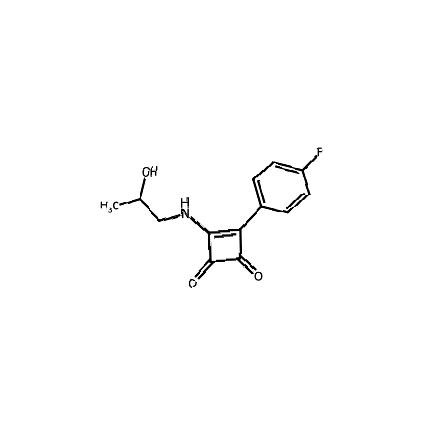 CC(O)CNc1c(-c2ccc(F)cc2)c(=O)c1=O